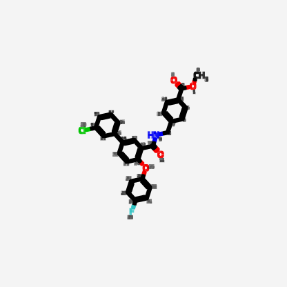 COC(=O)c1ccc(CNC(=O)c2cc(-c3cccc(Cl)c3)ccc2Oc2ccc(F)cc2)cc1